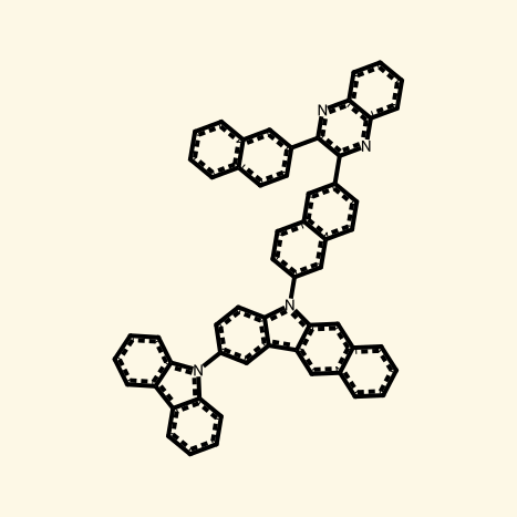 c1ccc2cc(-c3nc4ccccc4nc3-c3ccc4cc(-n5c6ccc(-n7c8ccccc8c8ccccc87)cc6c6cc7ccccc7cc65)ccc4c3)ccc2c1